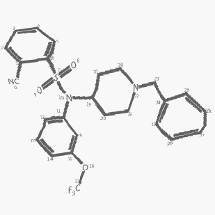 N#Cc1ccccc1S(=O)(=O)N(c1cccc(OC(F)(F)F)c1)C1CCN(Cc2ccccc2)CC1